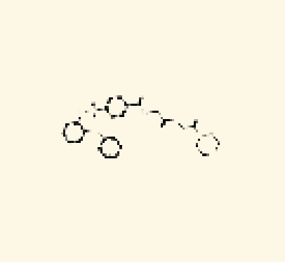 Cl.O=C(CNC(=O)c1ccc(S(=O)(=O)Nc2ccccc2Oc2ccccc2)cc1)NCC(=O)N1CCNCC1